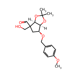 COc1ccc(CO[C@H]2CC(C=O)(CO)[C@H]3OC(C)(C)O[C@@H]23)cc1